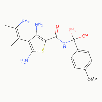 BC(O)(NC(=O)c1sc(N)c(/C(C)=C(/C)N)c1N)c1ccc(OC)cc1